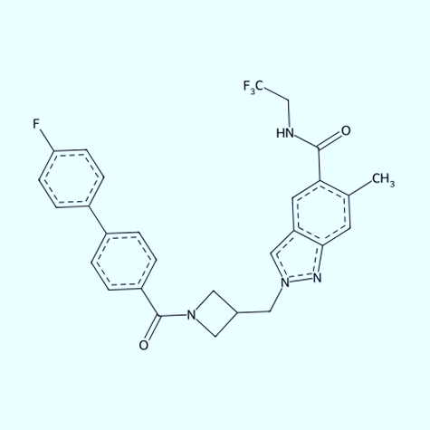 Cc1cc2nn(CC3CN(C(=O)c4ccc(-c5ccc(F)cc5)cc4)C3)cc2cc1C(=O)NCC(F)(F)F